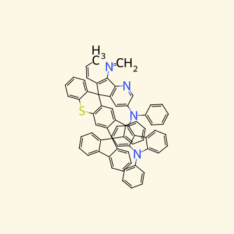 C=NC1=C(/C=C\C)C2(c3ccccc3Sc3cc4c(cc32)-c2ccccc2C42c3ccccc3-c3ccccc32)c2cc(N(c3ccccc3)c3cccc4c3c3ccccc3n4-c3ccccc3)cnc21